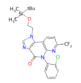 CC(C)(C)[Si](C)(C)OCCn1cnc2c(=O)n(-c3ccccc3Cl)c3nc(C(F)(F)F)ccc3c21